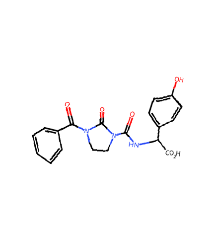 O=C(O)C(NC(=O)N1CCN(C(=O)c2ccccc2)C1=O)c1ccc(O)cc1